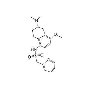 COc1ccc(NS(=O)(=O)Cc2ccccn2)c2c1C[C@@H](N(C)C)CC2